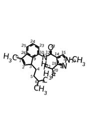 CC1=CC(CCC(C)C)c2c(NC(=O)c3cn(C)nc3C(F)F)cccc21